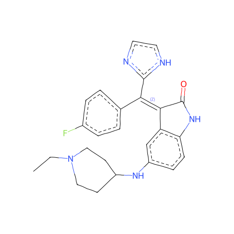 CCN1CCC(Nc2ccc3c(c2)/C(=C(\c2ccc(F)cc2)c2ncc[nH]2)C(=O)N3)CC1